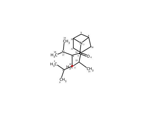 CC(C)CC(C(=O)N1C2CC1CN(C(C)C)C2)N(C)C